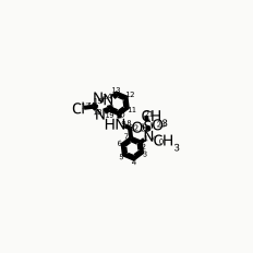 CN(c1ccccc1CNc1cccn2nc(Cl)nc12)S(C)(=O)=O